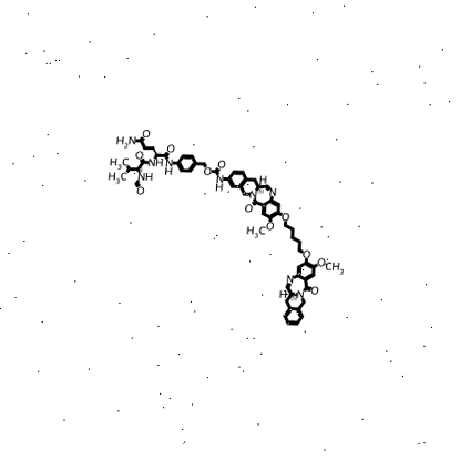 COc1cc2c(cc1OCCCCCOc1cc3c(cc1OC)C(=O)N1Cc4cc(NC(=O)OCc5ccc(NC(=O)[C@H](CCC(N)=O)NC(=O)[C@@H](NC=O)C(C)C)cc5)ccc4C[C@H]1C=N3)N=C[C@@H]1Cc3ccccc3CN1C2=O